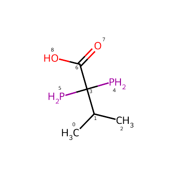 CC(C)C(P)(P)C(=O)O